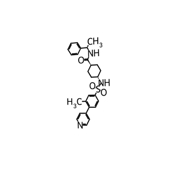 Cc1cc(S(=O)(=O)N[C@H]2CC[C@H](C(=O)N[C@H](C)c3ccccc3)CC2)ccc1-c1ccncc1